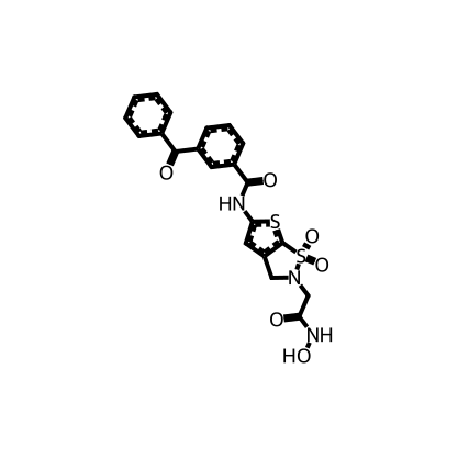 O=C(CN1Cc2cc(NC(=O)c3cccc(C(=O)c4ccccc4)c3)sc2S1(=O)=O)NO